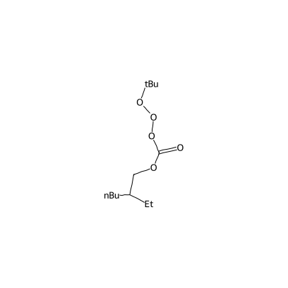 CCCCC(CC)COC(=O)OOOC(C)(C)C